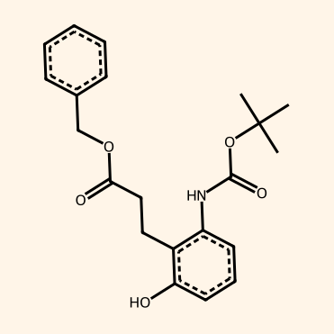 CC(C)(C)OC(=O)Nc1cccc(O)c1CCC(=O)OCc1ccccc1